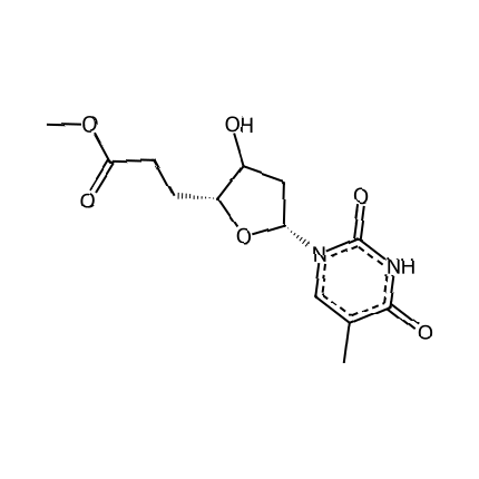 COC(=O)CC[C@H]1O[C@@H](n2cc(C)c(=O)[nH]c2=O)CC1O